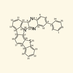 c1ccc(-c2ccc3nc4c5cccc6c7ccc8c9ccccc9sc8c7n(c4nc3c2)c65)cc1